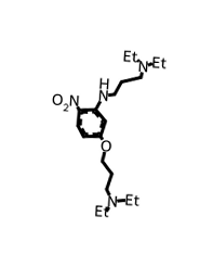 CCN(CC)CCCNc1cc(OCCCN(CC)CC)ccc1[N+](=O)[O-]